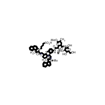 CCCCN1/C(=C/C=C2\CCCC(/C=C/C3=[N+](CCCCS(=O)(=O)O)c4ccc5ccccc5c4C3(C)C)=C2Sc2ccc(NC(=O)C(CC(CC(C)C(=O)OC)C(=O)NC3[C@@H](O)OC(CO)[C@H](O)[C@H]3O)N=[N+]=[N-])cc2)C(C)(C)c2c1ccc1ccccc21